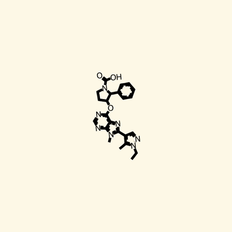 CCn1ncc(-c2nc3c(OC4CCN(C(=O)O)C4c4ccccc4)ncnc3n2C)c1C